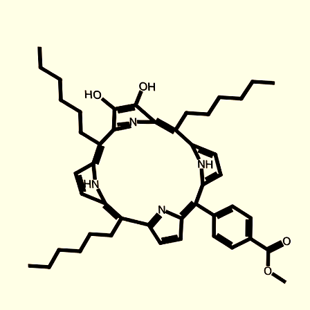 CCCCCCc1c2nc(c(-c3ccc(C(=O)OC)cc3)c3ccc([nH]3)c(CCCCCC)c3nc(c(CCCCCC)c4ccc1[nH]4)C(O)=C3O)C=C2